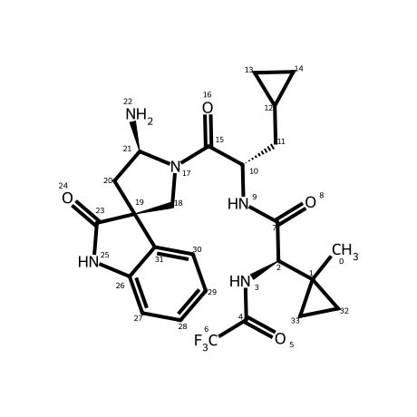 CC1([C@@H](NC(=O)C(F)(F)F)C(=O)N[C@@H](CC2CC2)C(=O)N2C[C@]3(C[C@H]2N)C(=O)Nc2ccccc23)CC1